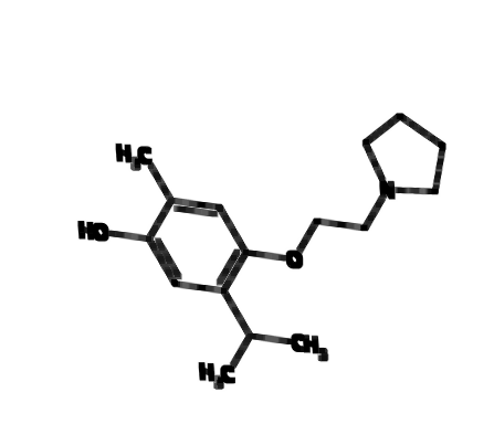 Cc1cc(OCCN2CCCC2)c(C(C)C)cc1O